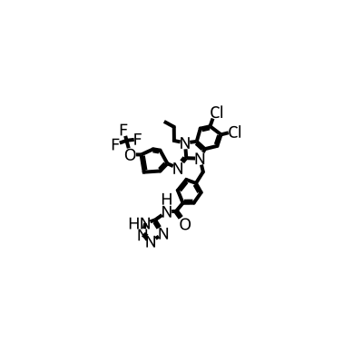 CCCn1/c(=N\c2ccc(OC(F)(F)F)cc2)n(Cc2ccc(C(=O)Nc3nnn[nH]3)cc2)c2cc(Cl)c(Cl)cc21